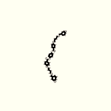 O=C(Oc1ccc(OC(=O)c2ccc(OCCCCOCC3CCC4OC4C3)cc2)cc1)c1ccc(OCCCCOCC2CCC3OC3C2)cc1